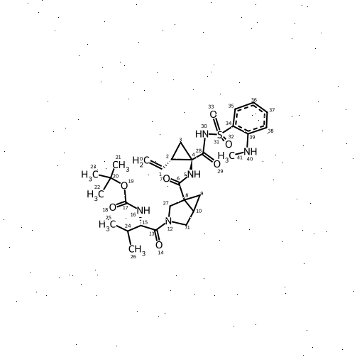 C=C[C@@H]1C[C@]1(NC(=O)C12CC1CN(C(=O)[C@@H](NC(=O)OC(C)(C)C)C(C)C)C2)C(=O)NS(=O)(=O)c1ccccc1NC